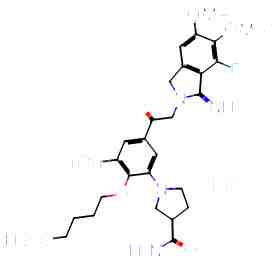 Br.CCCCc1cc(C(=O)CN2Cc3cc(OC)c(OC)c(F)c3C2=N)cc(N2CCC(C(N)=O)C2)c1OCCCCC(=O)O